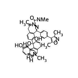 CNC(=O)N1N=C(c2ccc(-c3c(C)noc3C)cc2)c2cc(C34O[C@H]5[C@@H](O)C=C[C@H]6[C@H]7CC(=C3[C@]65CCN7C)CC=C4O)ccc2C[C@H]1C